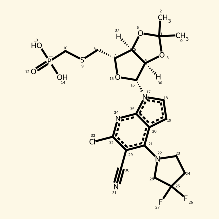 CC1(C)O[C@@H]2[C@H](O1)[C@@H](CSCP(=O)(O)O)O[C@H]2n1ccc2c(N3CCC(F)(F)C3)c(C#N)c(Cl)nc21